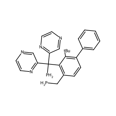 CC(C)(C)c1c(-c2ccccc2)ccc(CP)c1C(P)(c1cnccn1)c1cnccn1